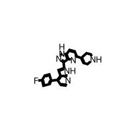 Fc1ccc(-c2ccnc3[nH]c(-c4n[nH]c5ccc(C6=CCNCC6)nc45)cc23)cc1